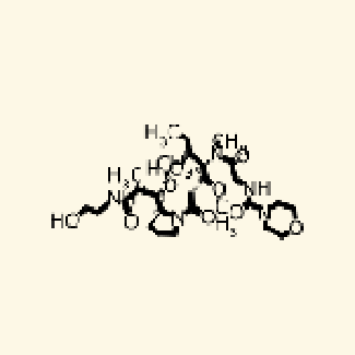 CC[C@H](C)[C@@H]([C@@H](CC(=O)N1CCC[C@H]1[C@H](OC)[C@@H](C)C(=O)NCCO)OC)N(C)C(=O)CNC(=O)N1CCOCC1